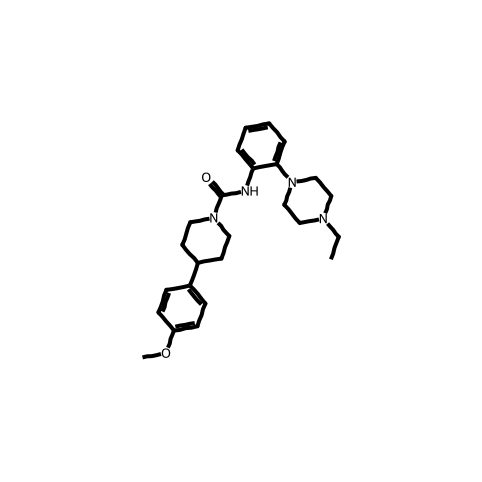 CCN1CCN(c2ccccc2NC(=O)N2CCC(c3ccc(OC)cc3)CC2)CC1